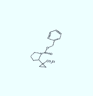 CCOC(=O)C1(C2CCCN2C(=O)OCc2ccccc2)CC1